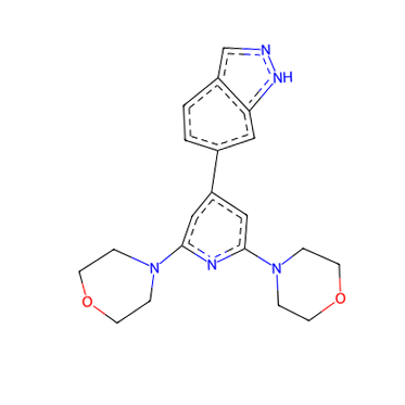 c1cc2cn[nH]c2cc1-c1cc(N2CCOCC2)nc(N2CCOCC2)c1